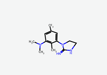 Cc1c(N(C)C)cc(C(F)(F)F)cc1N1CCNC1=N